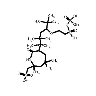 CC1(C)CC(C(C)(C)C(C)(C)CC(OCCP(=O)(O)OP(=O)(O)O)C(C)(C)C)C(=O)NC(C)(CS(=O)(=O)O)C1